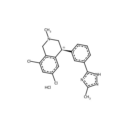 Cc1n[nH]c(-c2cccc([C@@H]3CN(C)Cc4c(Cl)cc(Cl)cc43)c2)n1.Cl